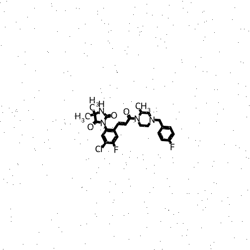 CC1CN(Cc2ccc(F)cc2)CCN1C(=O)C=Cc1cc(F)c(Cl)cc1N1C(=O)NC(C)(C)C1=O